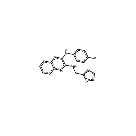 Fc1ccc(Nc2nc3ccccc3nc2NCc2cccs2)cc1